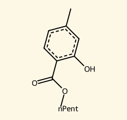 CCCCCOC(=O)c1ccc(C)cc1O